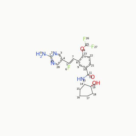 Nc1ncc(/C(F)=C/c2cc(C(=O)N[C@H]3CCCC[C@@H]3O)ccc2OC(F)F)cn1